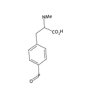 CNC(Cc1ccc(P=O)cc1)C(=O)O